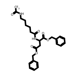 O=C(CCCCCNC(=O)C(F)(F)F)NC(CC(=O)OCc1ccccc1)C(=O)OCc1ccccc1